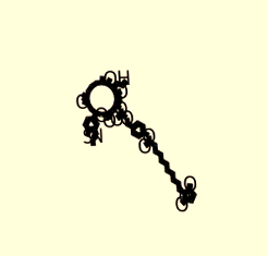 C=CCC1C(=O)C(C)(C)C(OC(=O)OCc2ccc(OC(=O)CCCCCCCCCCN3C(=O)C=CC3=O)cc2)CC(=O)OC(c2ccc3sc(C)nc3c2)CC2OC2(C)CCCC(C)C1O